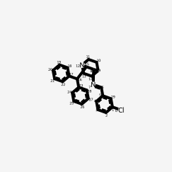 Clc1cccc(C=NC2C3CCN(CC3)C2C(c2ccccc2)c2ccccc2)c1